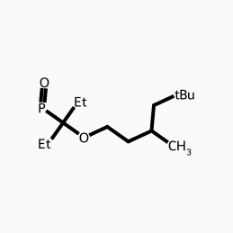 CCC(CC)(OCCC(C)CC(C)(C)C)P=O